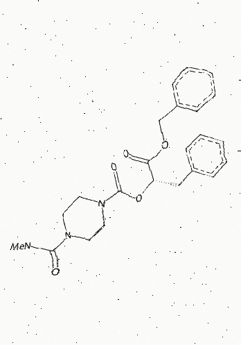 CNC(=O)N1CCN(C(=O)O[C@@H](Cc2ccccc2)C(=O)OCc2ccccc2)CC1